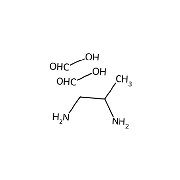 CC(N)CN.O=CO.O=CO